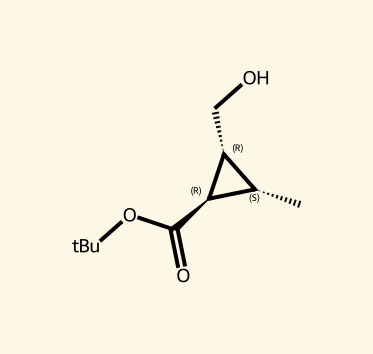 C[C@H]1[C@@H](CO)[C@@H]1C(=O)OC(C)(C)C